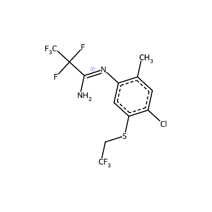 Cc1cc(Cl)c(SCC(F)(F)F)cc1/N=C(\N)C(F)(F)C(F)(F)F